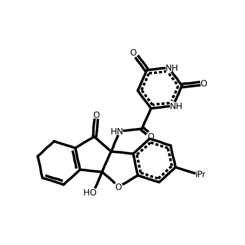 CC(C)c1ccc2c(c1)OC1(O)C3=C(CCC=C3)C(=O)C21NC(=O)c1cc(=O)[nH]c(=O)[nH]1